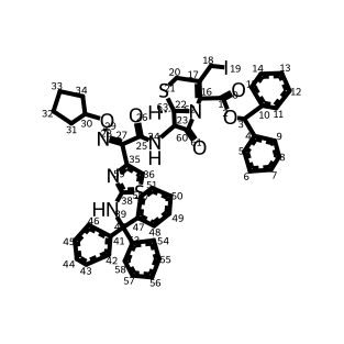 O=C(OC(c1ccccc1)c1ccccc1)C1=C(CI)CS[C@@H]2C(NC(=O)/C(=N\OC3CCCC3)c3csc(NC(c4ccccc4)(c4ccccc4)c4ccccc4)n3)C(=O)N12